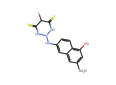 O=S(=O)(O)c1cc(O)c2ccc(NN3NC(=S)C(I)C(=S)N3)cc2c1